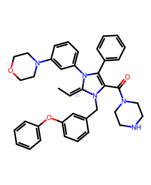 C/C=C1/N(Cc2cccc(Oc3ccccc3)c2)C(C(=O)N2CCNCC2)=C(c2ccccc2)N1c1cccc(N2CCOCC2)c1